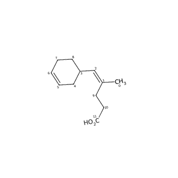 CC(=CC1CC=CCC1)CCC(=O)O